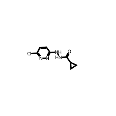 O=C(NNc1ccc(Cl)nn1)C1CC1